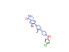 CC[C@H]1CN(c2ncc(C(N)=O)nc2Br)CCN1C1CCN(C(=O)c2ccc(Cl)cc2)CC1